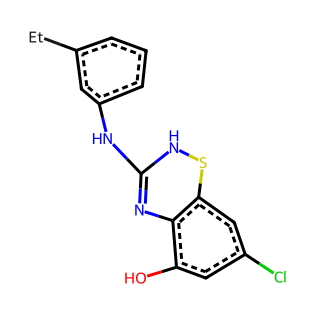 CCc1cccc(NC2=Nc3c(O)cc(Cl)cc3SN2)c1